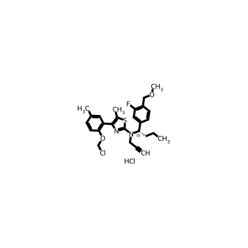 C#CCN(c1nc(-c2cc(C)ccc2OCCl)c(C)s1)[C@@H](CCC)c1ccc(COC)c(F)c1.Cl